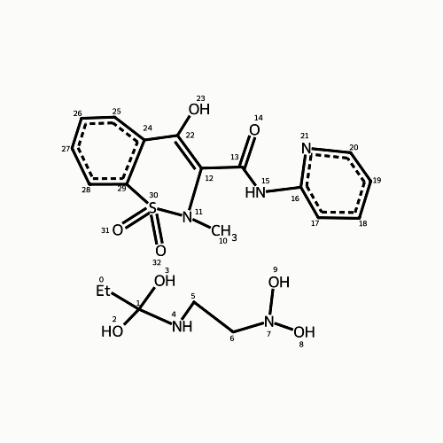 CCC(O)(O)NCCN(O)O.CN1C(C(=O)Nc2ccccn2)=C(O)c2ccccc2S1(=O)=O